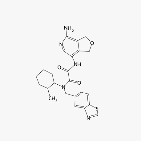 CC1CCCCC1N(Cc1ccc2scnc2c1)C(=O)C(=O)Nc1cnc(N)c2c1COC2